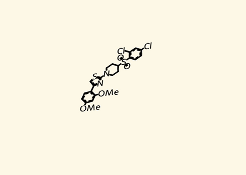 COc1ccc(-c2csc(N3CCC(S(=O)(=O)c4ccc(Cl)cc4Cl)CC3)n2)c(OC)c1